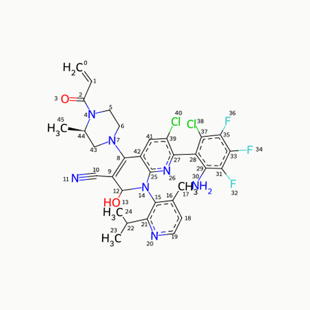 C=CC(=O)N1CCN(C2=C(C#N)C(O)N(c3c(C)ccnc3C(C)C)c3nc(-c4c(N)c(F)c(F)c(F)c4Cl)c(Cl)cc32)C[C@H]1C